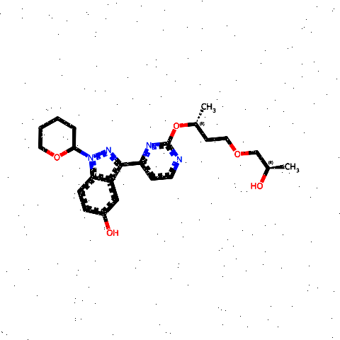 C[C@H](CCOC[C@@H](C)O)Oc1nccc(-c2nn(C3CCCCO3)c3ccc(O)cc23)n1